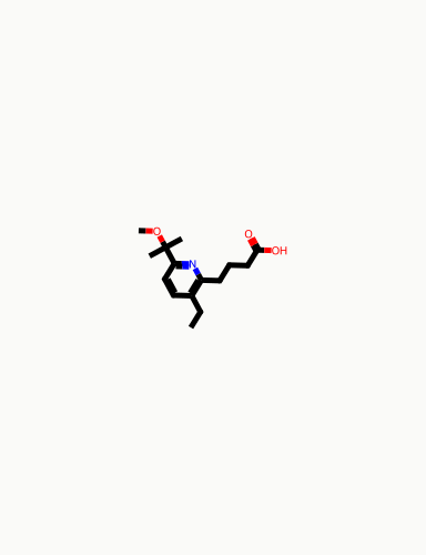 CCc1ccc(C(C)(C)OC)nc1CCCC(=O)O